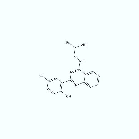 CC(C)[C@H](N)CNc1nc(-c2cc(Cl)ccc2O)nc2ccccc12